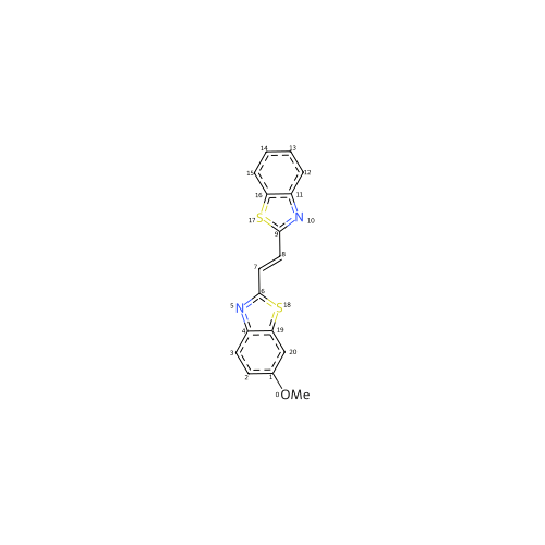 COc1ccc2nc(C=Cc3nc4ccccc4s3)sc2c1